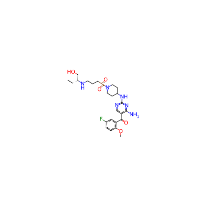 CC[C@H](CO)NCCCS(=O)(=O)N1CCC(Nc2ncc(C(=O)c3cc(F)ccc3OC)c(N)n2)CC1